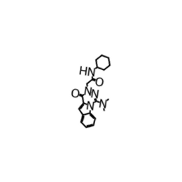 CN(C)c1nn(CC(=O)NC2CCCCC2)c(=O)c2cc3ccccc3n12